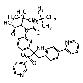 CC(C)(C)OC(=O)N(c1cccc(C(N)(Cc2ccc(-c3ccccn3)cc2)S(=O)(=O)c2cccnc2)n1)C(C(=O)O)C(C)(C)C